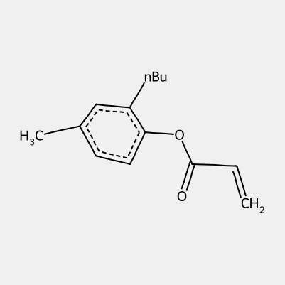 C=CC(=O)Oc1ccc(C)cc1CCCC